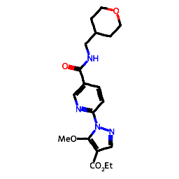 CCOC(=O)c1cnn(-c2ccc(C(=O)NCC3CCOCC3)cn2)c1OC